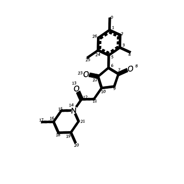 Cc1cc(C)c(C2C(=O)CC(CC(=O)N3CC(C)CC(C)C3)C2=O)c(C)c1